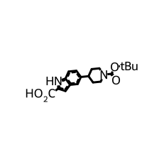 CC(C)(C)OC(=O)N1CCC(c2ccc3[nH]c(C(=O)O)cc3c2)CC1